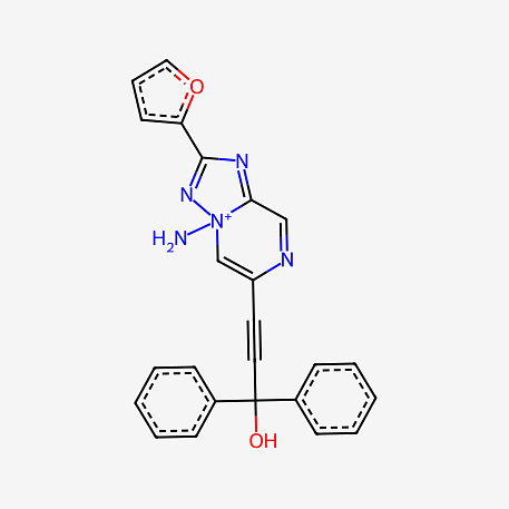 N[N+]12C=C(C#CC(O)(c3ccccc3)c3ccccc3)N=CC1=NC(c1ccco1)=N2